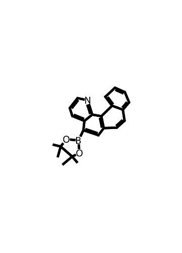 CC1(C)OB(c2cc3ccc4ccccc4c3c3ncccc23)OC1(C)C